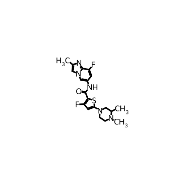 Cc1cn2cc(NC(=O)c3sc(N4CCN(C)C(C)C4)cc3F)cc(F)c2n1